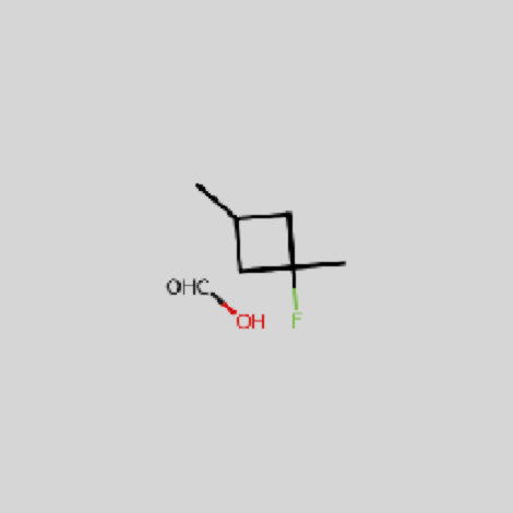 CC1CC(C)(F)C1.O=CO